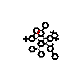 Cc1cc(-c2ccccc2)ccc1N1c2cc3c(cc2B2c4cc(-c5ccccc5)ccc4N(c4ccc(C(C)(C)C)cc4-c4ccccc4)c4cc(N(c5ccccc5)c5ccccc5)cc1c42)C(C)(C)CCC3(C)C